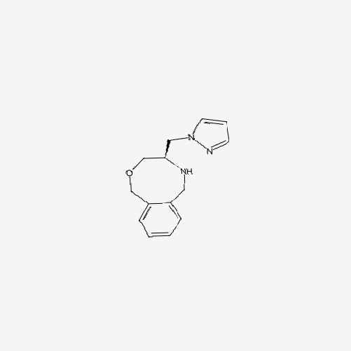 c1ccc2c(c1)CN[C@H](Cn1cccn1)COC2